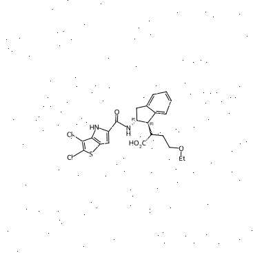 CCOCCC(C(=O)O)[C@@H]1c2ccccc2C[C@H]1NC(=O)c1cc2sc(Cl)c(Cl)c2[nH]1